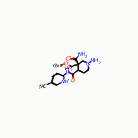 CC(C)(C)OC(=O)C1(C(N)=O)CN(N)CCC1C(=O)NC1CCC(C#N)CN1